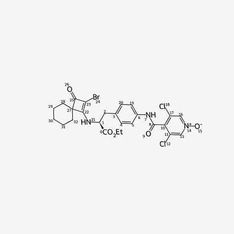 CCOC(=O)[C@H](Cc1ccc(NC(=O)c2c(Cl)c[n+]([O-])cc2Cl)cc1)NC1=C(Br)C(=O)C12CCCCC2